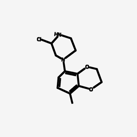 Cc1ccc(N2CCNC(Cl)C2)c2c1OCCO2